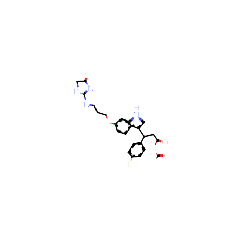 O=C1CNC(NCCCOc2ccc3c(C(CC(=O)OC(=O)C(F)(F)F)c4ccc(F)cc4)c[nH]c3c2)=N1